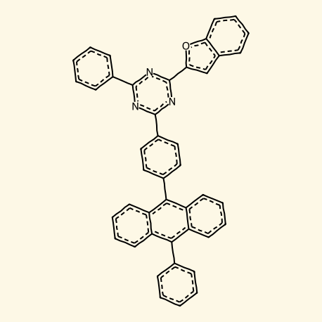 c1ccc(-c2nc(-c3ccc(-c4c5ccccc5c(-c5ccccc5)c5ccccc45)cc3)nc(-c3cc4ccccc4o3)n2)cc1